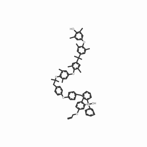 C=CCOc1ccc(OCc2ccc(Oc3ccc(CC(C)(C)Oc4c(C)cc(Oc5c(C)cc(C(C)(C)c6cc(C)c(Oc7cc(C)c(O)c(C)c7)c(C)c6)cc5C)cc4C)cc3)cc2)c([PH](O)(c2ccccc2)c2ccccc2)c1